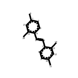 Cc1ccc(/C=C/c2ccc(C)cc2C)c(C)c1